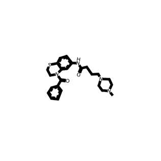 CN1CCN(CCCC(=O)Nc2ccc3c(c2)N(C(=O)c2ccccc2)CCS3)CC1